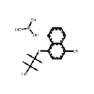 CC(C)(O)C(C)(C)Oc1ccc(C#N)c2ccccc12.OB(O)O